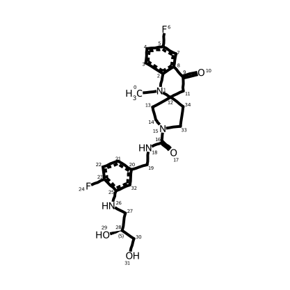 CN1c2ccc(F)cc2C(=O)CC12CCN(C(=O)NCc1ccc(F)c(NC[C@H](O)CO)c1)CC2